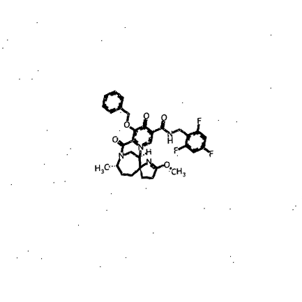 COC1=N[C@]2(CC1)CC[C@H](C)N1C[C@H]2n2cc(C(=O)NCc3c(F)cc(F)cc3F)c(=O)c(OCc3ccccc3)c2C1=O